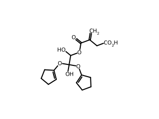 C=C(CC(=O)O)C(=O)OC(O)C(O)(OC1=CCCC1)OC1=CCCC1